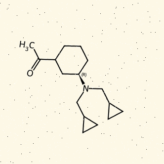 CC(=O)C1CCC[C@@H](N(CC2CC2)CC2CC2)C1